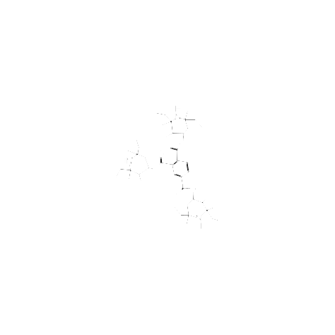 CCC1(C)CC(OC(=O)c2ccc(C(=O)OC3CC(C)(CC)NC(C)(CC)C3C)c(C(=O)OC3CC(C)(CC)NC(C)(CC)C3C)c2)C(C)C(C)(CC)N1